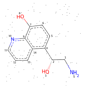 NC[C@H](O)c1ccc(O)c2ncccc12